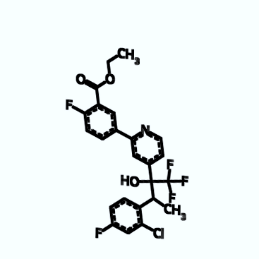 CCOC(=O)c1cc(-c2cc(C(O)(C(C)c3ccc(F)cc3Cl)C(F)(F)F)ccn2)ccc1F